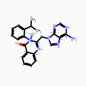 CC(C)c1ccccc1[N+]1(Cl)C(=O)c2ccccc2N=C1Cn1cnc2c(N)ncnc21